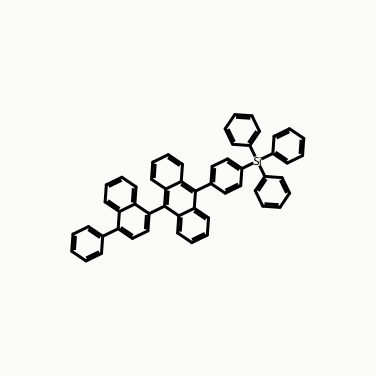 c1ccc(-c2ccc(-c3c4ccccc4c(-c4ccc([Si](c5ccccc5)(c5ccccc5)c5ccccc5)cc4)c4ccccc34)c3ccccc23)cc1